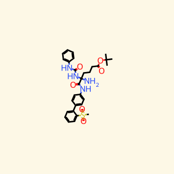 CC(C)(C)OC(=O)CCCC(N)(NC(=O)Nc1ccccc1)C(=O)Nc1ccc(-c2ccccc2S(C)(=O)=O)cc1